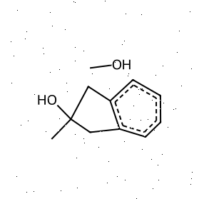 CC1(O)Cc2ccccc2C1.CO